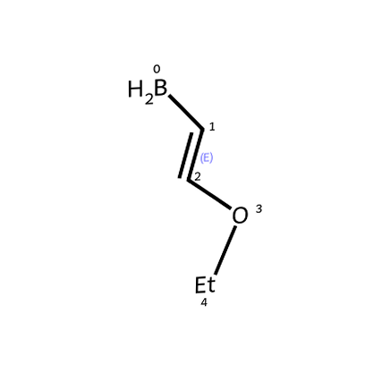 B/C=C/OCC